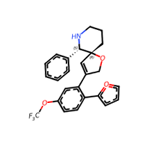 FC(F)(F)Oc1ccc(-c2ccco2)c(C2=C[C@@]3(CCCN[C@H]3c3ccccc3)OC2)c1